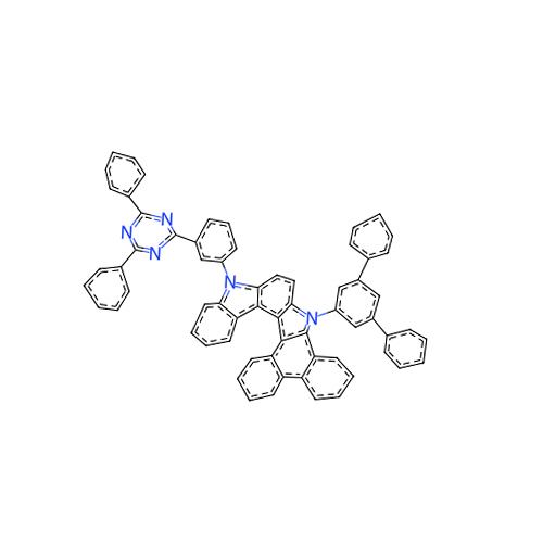 c1ccc(-c2cc(-c3ccccc3)cc(-n3c4ccc5c(c6ccccc6n5-c5cccc(-c6nc(-c7ccccc7)nc(-c7ccccc7)n6)c5)c4c4c5ccccc5c5ccccc5c43)c2)cc1